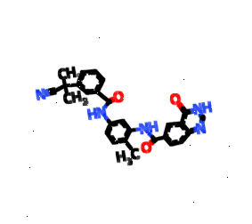 Cc1ccc(NC(=O)c2cccc(C(C)(C)C#N)c2)cc1NC(=O)c1ccc2nc[nH]c(=O)c2c1